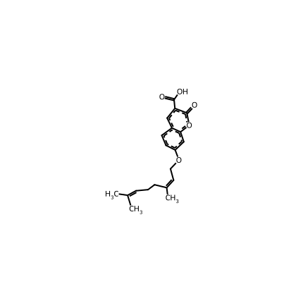 CC(C)=CCCC(C)=CCOc1ccc2cc(C(=O)O)c(=O)oc2c1